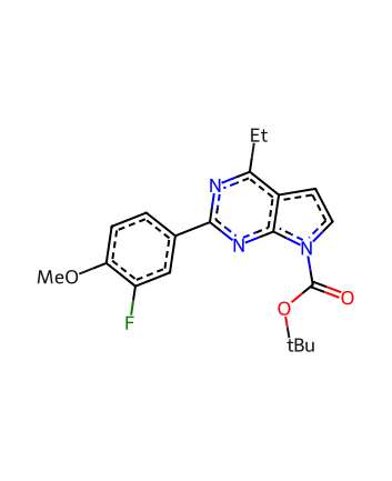 CCc1nc(-c2ccc(OC)c(F)c2)nc2c1ccn2C(=O)OC(C)(C)C